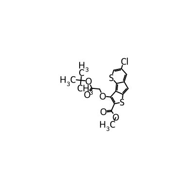 COC(=O)c1sc2cc3cc(Cl)csc-3c2c1OCC(=O)OC(C)(C)C